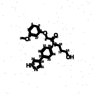 COc1cccc(OCC(=O)N(CCCO)c2ccc(-c3cn[nH]c3)cc2)c1